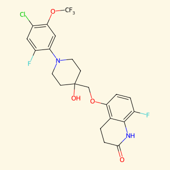 O=C1CCc2c(OCC3(O)CCN(c4cc(OC(F)(F)F)c(Cl)cc4F)CC3)ccc(F)c2N1